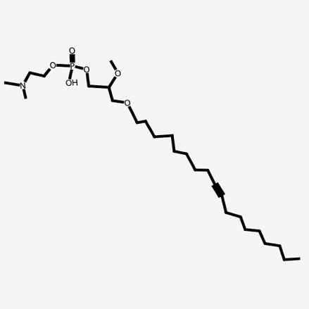 CCCCCCCCC#CCCCCCCCCOCC(COP(=O)(O)OCCN(C)C)OC